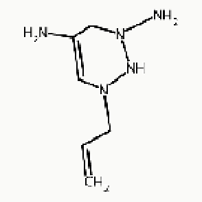 C=CCN1C=C(N)CN(N)N1